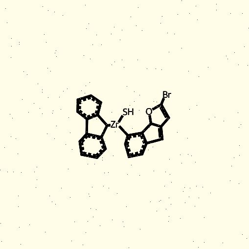 [SH][Zr]([c]1cccc2c1C1OC(Br)=CC1=C2)[CH]1c2ccccc2-c2ccccc21